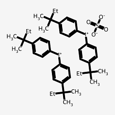 CCC(C)(C)c1ccc([I+]c2ccc(C(C)(C)CC)cc2)cc1.CCC(C)(C)c1ccc([I+]c2ccc(C(C)(C)CC)cc2)cc1.O=S(=O)([O-])[O-]